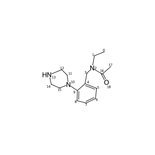 CCN(Cc1ccccc1N1CCNCC1)C(C)=O